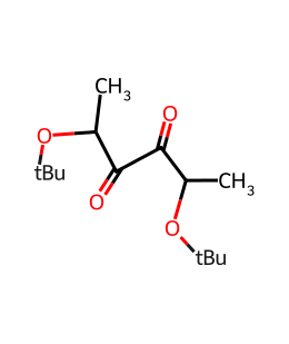 CC(OC(C)(C)C)C(=O)C(=O)C(C)OC(C)(C)C